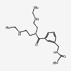 CC(C)(C)CNCCN(CCNCC(C)(C)C)C(=O)c1cccc(CNC(=O)C(C)(C)C)c1